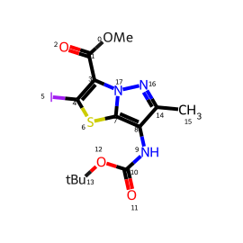 COC(=O)c1c(I)sc2c(NC(=O)OC(C)(C)C)c(C)nn12